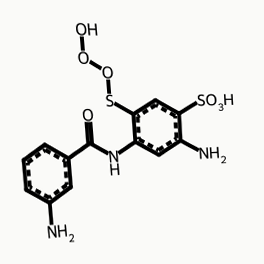 Nc1cccc(C(=O)Nc2cc(N)c(S(=O)(=O)O)cc2SOOO)c1